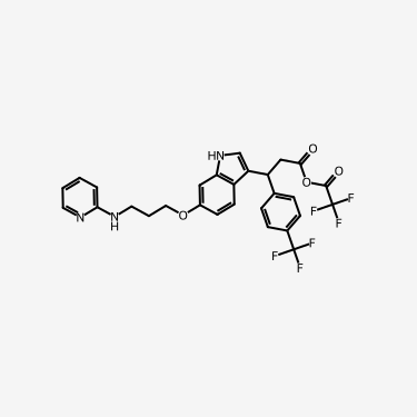 O=C(CC(c1ccc(C(F)(F)F)cc1)c1c[nH]c2cc(OCCCNc3ccccn3)ccc12)OC(=O)C(F)(F)F